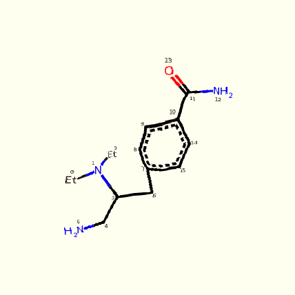 CCN(CC)C(CN)Cc1ccc(C(N)=O)cc1